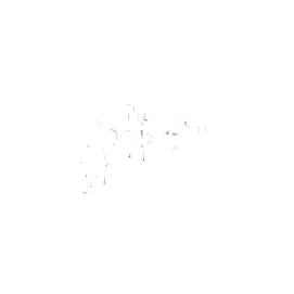 CC[C@@H]1C(=O)C2C3CC[C@H](C(C)C)[C@@]3(C)CCC2[C@@]2(C)CC[C@@H](OP)C[C@@H]12